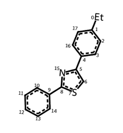 CCc1ccc(-c2csc(-c3ccccc3)n2)cc1